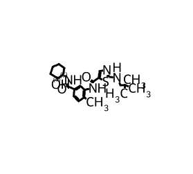 Cc1ccc(C(=O)N[C@H]2CCCC[C@@H]2O)cc1NC(=O)c1cnc(NCC(C)(C)C)s1